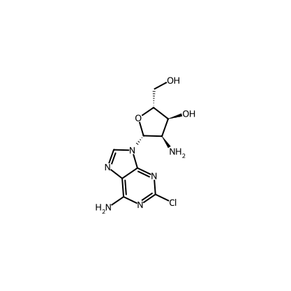 Nc1nc(Cl)nc2c1ncn2[C@@H]1O[C@H](CO)[C@@H](O)[C@H]1N